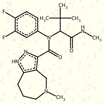 CNC(=O)C(N(C(=O)c1n[nH]c2c1CN(C)CCC2)c1ccc(F)c(F)c1)C(C)(C)C